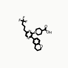 O=C(O)C1CCN(c2nc(CCCC(F)(F)F)cnc2-c2ccc3c(c2)CCCO3)CC1